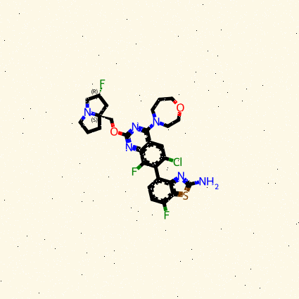 Nc1nc2c(-c3c(Cl)cc4c(N5CCCOCC5)nc(OC[C@@]56CCCN5C[C@H](F)C6)nc4c3F)ccc(F)c2s1